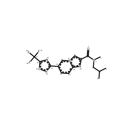 CC(C)CN(C)C(=O)c1cn2cc(-c3noc(C(F)(F)F)n3)ccc2n1